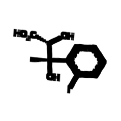 C[C@](O)(c1ccccc1I)[C@@H](O)C(=O)O